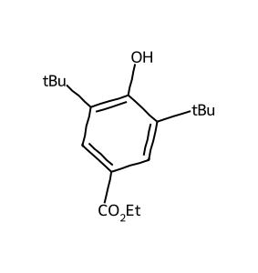 CCOC(=O)c1cc(C(C)(C)C)c(O)c(C(C)(C)C)c1